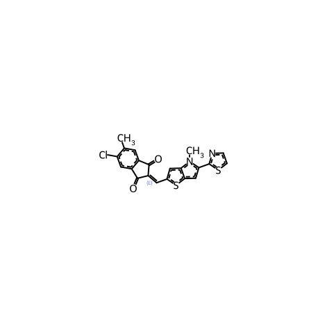 Cc1cc2c(cc1Cl)C(=O)/C(=C/c1cc3c(cc(-c4nccs4)n3C)s1)C2=O